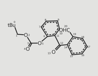 CC(C)(C)COC(=O)Oc1ccccc1C(=O)c1ccccc1[C]=O